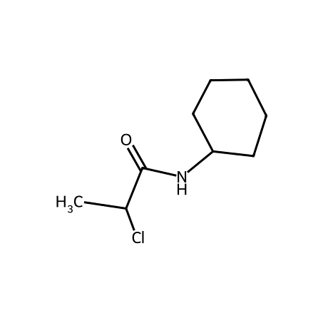 CC(Cl)C(=O)NC1CCCCC1